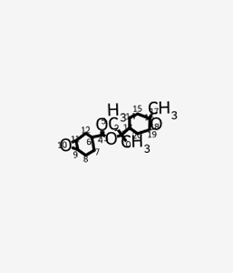 CC(C)(OC(=O)C1CCC2OC2C1)C1CCC2(C)OC2C1